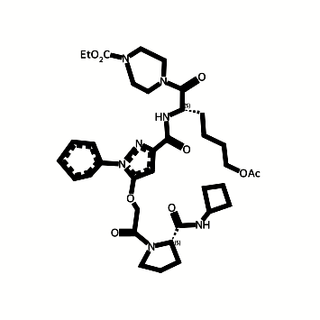 CCOC(=O)N1CCN(C(=O)[C@H](CCCCOC(C)=O)NC(=O)c2cc(OCC(=O)N3CCC[C@H]3C(=O)NC3CCC3)n(-c3ccccc3)n2)CC1